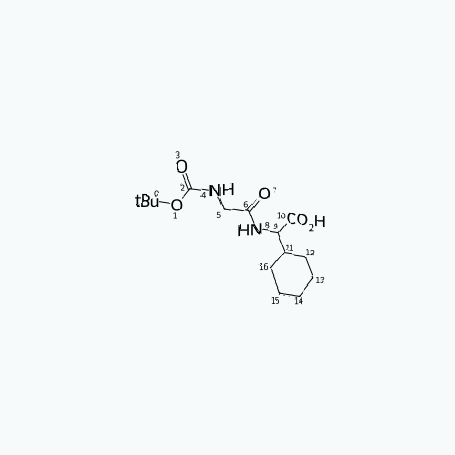 CC(C)(C)OC(=O)NCC(=O)NC(C(=O)O)C1CCCCC1